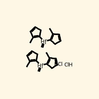 Cl.Cl.[CH2]=[Hf]([C]1=C(C)C=CC1)[C]1=C(C)C=CC1.[CH2]=[Hf]([C]1=C(C)C=CC1)[C]1=C(C)C=CC1